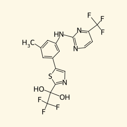 Cc1cc(Nc2nccc(C(F)(F)F)n2)cc(-c2cnc(C(O)(O)C(F)(F)F)s2)c1